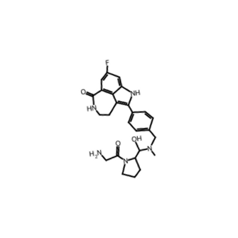 CN(Cc1ccc(-c2[nH]c3cc(F)cc4c3c2CCNC4=O)cc1)C(O)C1CCCN1C(=O)CN